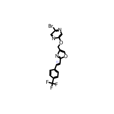 FC(F)(F)c1ccc(/C=C/c2nc(COc3cnc(Br)cn3)co2)cc1